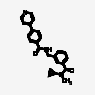 CN(C(=O)c1cccc(CNC(=O)c2ccc(-c3ccncc3)cc2)c1)C1CC1